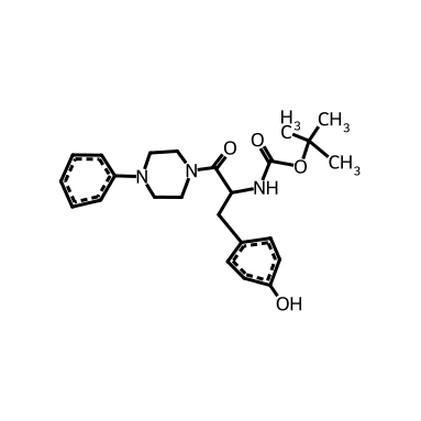 CC(C)(C)OC(=O)NC(Cc1ccc(O)cc1)C(=O)N1CCN(c2ccccc2)CC1